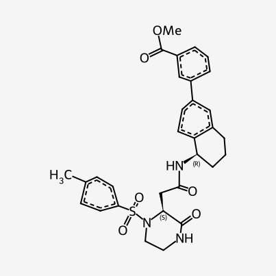 COC(=O)c1cccc(-c2ccc3c(c2)CCC[C@H]3NC(=O)C[C@H]2C(=O)NCCN2S(=O)(=O)c2ccc(C)cc2)c1